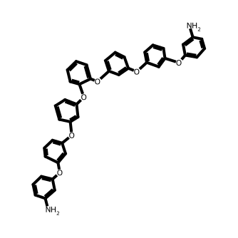 Nc1cccc(Oc2cccc(Oc3cccc(Oc4ccccc4Oc4cccc(Oc5cccc(Oc6cccc(N)c6)c5)c4)c3)c2)c1